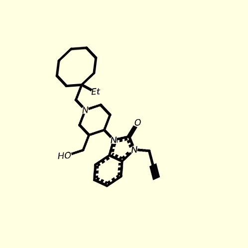 C#CCn1c(=O)n(C2CCN(CC3(CC)CCCCCCC3)CC2CO)c2ccccc21